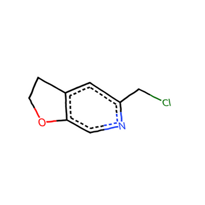 ClCc1cc2c(cn1)OCC2